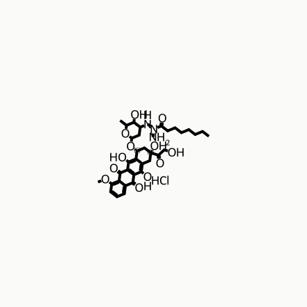 CCCCCCCC(=O)N(N)NC1CC(O[C@H]2C[C@](O)(C(=O)CO)Cc3c(O)c4c(c(O)c32)C(=O)c2c(OC)cccc2C4=O)OC(C)C1O.Cl